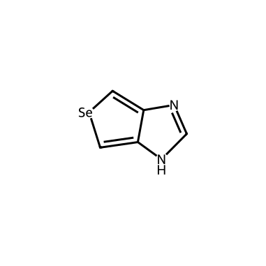 c1nc2c[se]cc2[nH]1